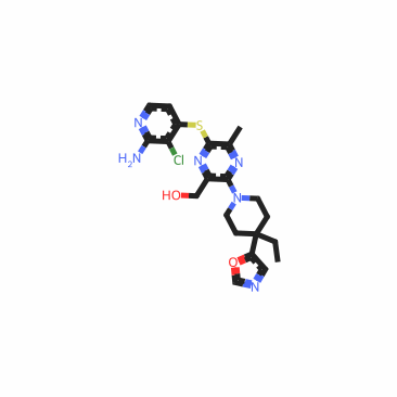 CCC1(c2cnco2)CCN(c2nc(C)c(Sc3ccnc(N)c3Cl)nc2CO)CC1